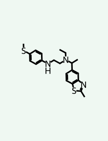 CCN(CCNc1ccc(SC)cc1)C(C)c1ccc2sc(C)nc2c1